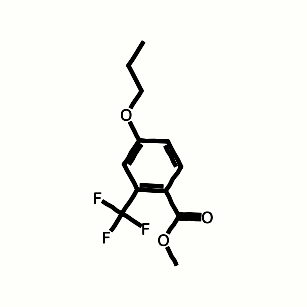 CCCOc1ccc(C(=O)OC)c(C(F)(F)F)c1